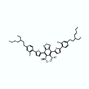 CCCCC(CC)CCc1ccc(-c2ccc(-c3c([N+](=O)[O-])c([N+](=O)[O-])c(-c4ccc(-c5ccc(CCC(CC)CCCC)cc5F)s4)c4nsnc34)s2)c(F)c1